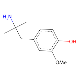 COc1cc(CC(C)(C)N)ccc1O